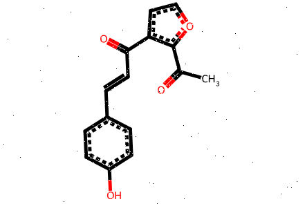 CC(=O)c1occc1C(=O)C=Cc1ccc(O)cc1